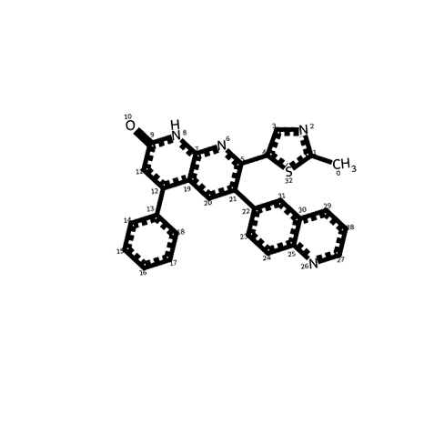 Cc1ncc(-c2nc3[nH]c(=O)cc(-c4ccccc4)c3cc2-c2ccc3ncccc3c2)s1